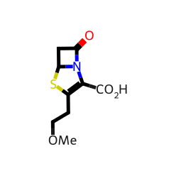 COCCC1=C(C(=O)O)N2C(=O)CC2S1